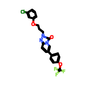 O=c1n(CCCOc2cccc(Cl)c2)nc2ccc(-c3ccc(OC(F)(F)F)cc3)cn12